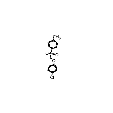 Cc1ccc(S(=O)(=O)COc2ccc(Cl)cc2)cc1